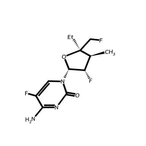 CC[C@@]1(CF)O[C@@H](n2cc(F)c(N)nc2=O)[C@@H](F)[C@@H]1C